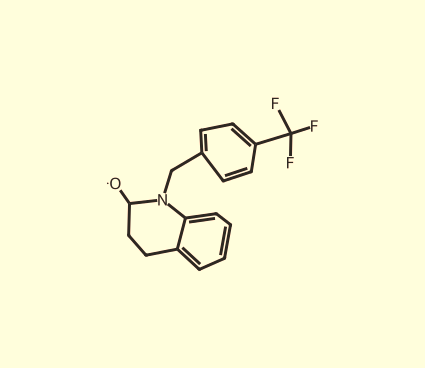 [O]C1CCc2ccccc2N1Cc1ccc(C(F)(F)F)cc1